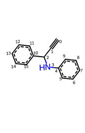 C#CC(Nc1ccccc1)c1ccccc1